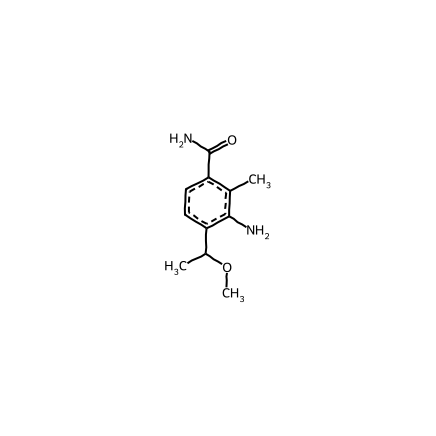 COC(C)c1ccc(C(N)=O)c(C)c1N